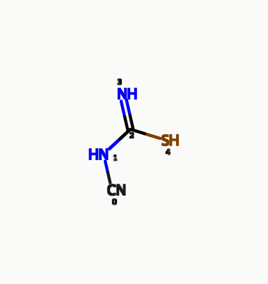 N#CNC(=N)S